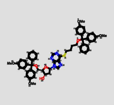 COc1ccc(C(OCCCCSc2ncnc3c2ncn3[C@H]2C[C@H](O)[C@@H](COC(c3ccccc3)(c3ccc(OC)cc3)c3ccc(OC)cc3)O2)(c2ccccc2)c2ccc(OC)cc2)cc1